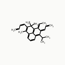 BC1(B)C(/C=C\C=C)=C(C)c2cccc3c(C(C)C)c(=C/C=C)/c(=C\C)c1c23